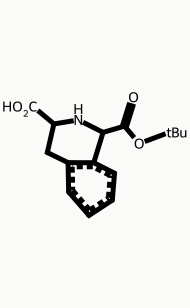 CC(C)(C)OC(=O)C1NC(C(=O)O)Cc2ccccc21